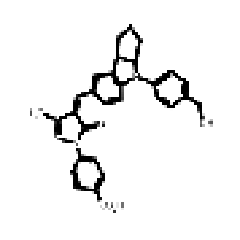 CC1=NN(c2ccc(C(=O)O)cc2)C(=O)/C1=C\c1ccc2c(c1)C1CCCC1N2c1ccc(CO)cc1